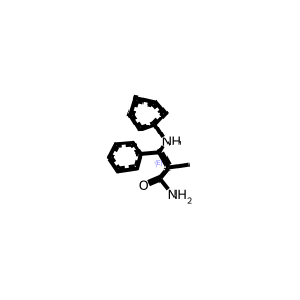 C/C(C(N)=O)=C(\Nc1ccccc1)c1ccccc1